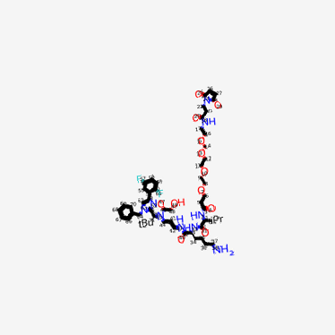 CC(C)C(NC(=O)CCOCCOCCOCOCCNC(=O)CCN1C(=O)C=CC1=O)C(=O)N[C@@H](CCCCN)C(=O)NCCCN(C(=O)CO)[C@@H](c1nc(-c2cc(F)ccc2F)cn1Cc1ccccc1)C(C)(C)C